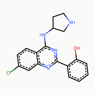 Oc1ccccc1-c1nc(NC2CCNC2)c2ccc(Cl)cc2n1